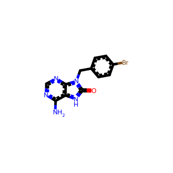 Nc1ncnc2c1[nH]c(=O)n2Cc1ccc(Br)cc1